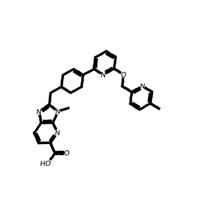 Cc1ccc(COc2cccc(C3=CCC(Cc4nc5ccc(C(=O)O)nc5n4C)CC3)n2)nc1